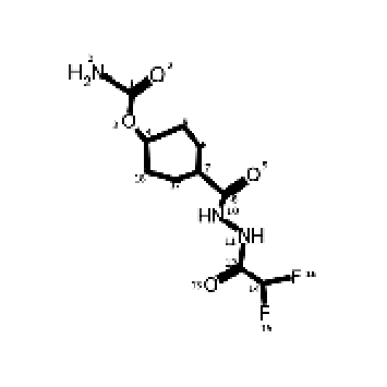 NC(=O)OC1CCC(C(=O)NNC(=O)C(F)F)CC1